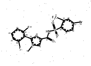 Cn1cc(C(=O)NS(=O)(=O)c2ccc(Br)cc2C(F)(F)F)nc1-c1c(F)cccc1F